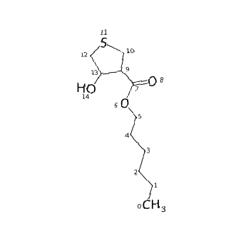 CCCCCCOC(=O)C1CSCC1O